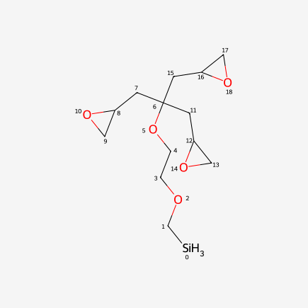 [SiH3]COCCOC(CC1CO1)(CC1CO1)CC1CO1